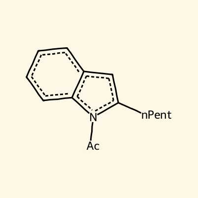 CCCCCc1cc2ccccc2n1C(C)=O